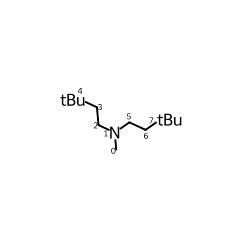 CN(CCC(C)(C)C)CCC(C)(C)C